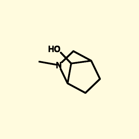 CN1CC2CCC1C2O